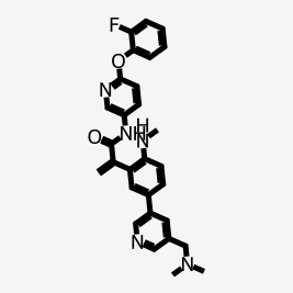 C=C(C(=O)Nc1ccc(Oc2ccccc2F)nc1)c1cc(-c2cncc(CN(C)C)c2)ccc1NC